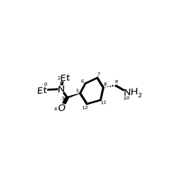 CCN(CC)C(=O)[C@H]1CC[C@H](CN)CC1